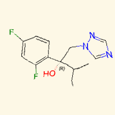 CC(C)[C@](O)(Cn1cncn1)c1ccc(F)cc1F